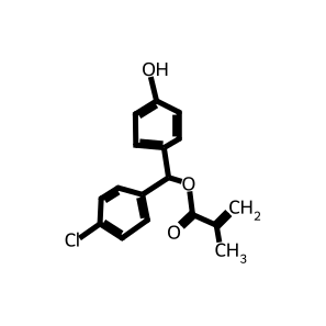 C=C(C)C(=O)OC(c1ccc(O)cc1)c1ccc(Cl)cc1